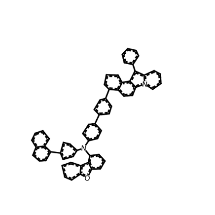 c1ccc(-c2c3c4cccc(-c5ccc(-c6ccc(N(c7ccc(-c8cccc9ccccc89)cc7)c7cccc8oc9ccccc9c78)cc6)cc5)c4ccc3n3ccccc23)cc1